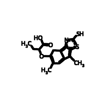 CCC(OC1=C(C)C=C2C(=c3nc(S)sc3=C2C)C1)C(=O)O